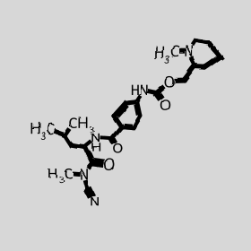 CC(C)CC(NC(=O)c1ccc(NC(=O)OCC2CCCCN2C)cc1)C(=O)N(C)C#N